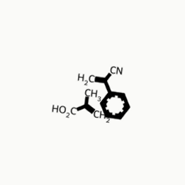 C=C(C#N)c1ccccc1.C=C(C)C(=O)O